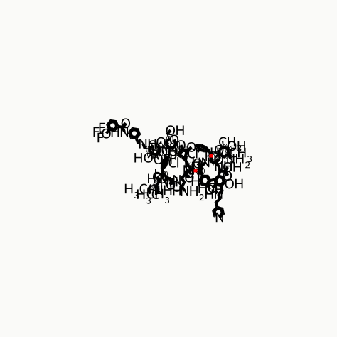 CN[C@H](CC(C)C)C(=O)NC1C(=O)NC(CC(N)=O)C(=O)N[C@H]2C(=O)N[C@H]3C(=O)N[C@H](C(=O)NC(C(=O)O)c4cc(O)c(CNCCc5ccncc5)c(O)c4-c4cc3ccc4O)[C@H](O[C@H]3C[C@](C)(N)[C@@H](O)[C@H](C)O3)c3ccc(c(Cl)c3)Oc3cc2cc(c3O[C@@H]2O[C@H](CO)[C@@H](O[C@@H]3O[C@H](CNCc4cccc(NC(=O)c5cccc(OC(F)(F)F)c5)c4)[C@H](O)[C@H](O)[C@H]3O)[C@H](O)[C@H]2O)Oc2ccc(cc2Cl)[C@H]1O